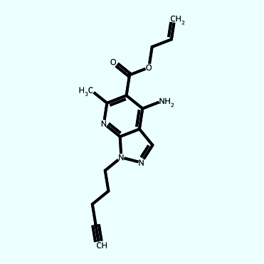 C#CCCCn1ncc2c(N)c(C(=O)OCC=C)c(C)nc21